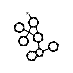 Brc1ccc2c(c1)C(c1ccccc1)(c1ccccc1)c1cc(-n3c(-c4ccccc4)cc4ccccc43)ccc1-2